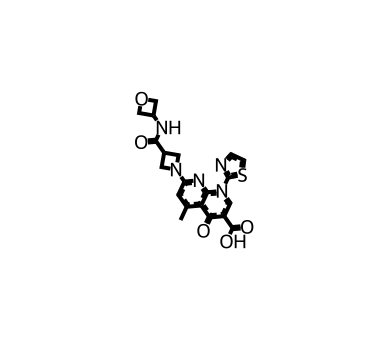 Cc1cc(N2CC(C(=O)NC3COC3)C2)nc2c1c(=O)c(C(=O)O)cn2-c1nccs1